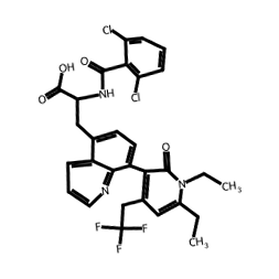 CCc1cc(CC(F)(F)F)c(-c2ccc(CC(NC(=O)c3c(Cl)cccc3Cl)C(=O)O)c3cccnc23)c(=O)n1CC